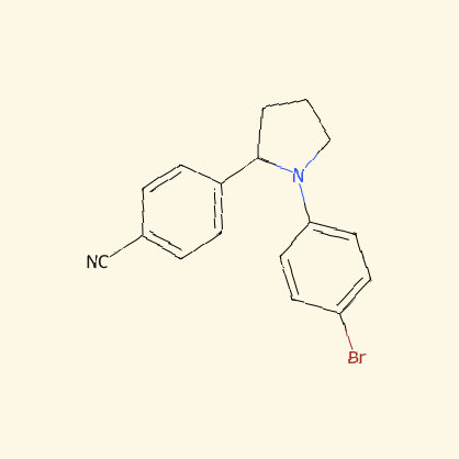 N#Cc1ccc(C2CCCN2c2ccc(Br)cc2)cc1